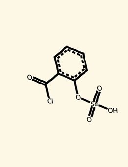 O=C(Cl)c1ccccc1O[Se](=O)(=O)O